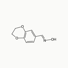 ON=Cc1ccc2c(c1)OCCO2